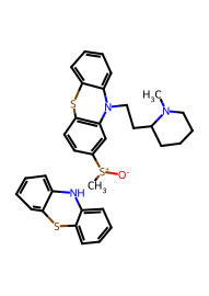 CN1CCCCC1CCN1c2ccccc2Sc2ccc([S+](C)[O-])cc21.c1ccc2c(c1)Nc1ccccc1S2